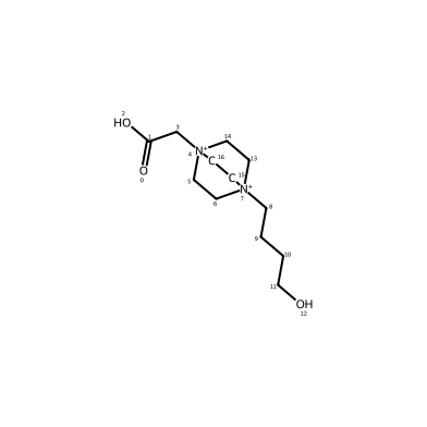 O=C(O)C[N+]12CC[N+](CCCCO)(CC1)CC2